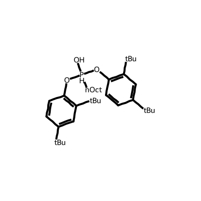 CCCCCCCC[PH](O)(Oc1ccc(C(C)(C)C)cc1C(C)(C)C)Oc1ccc(C(C)(C)C)cc1C(C)(C)C